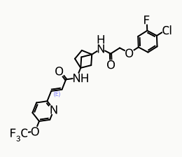 O=C(/C=C/c1ccc(OC(F)(F)F)cn1)NC12CCC(NC(=O)COc3ccc(Cl)c(F)c3)(C1)C2